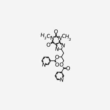 Cn1c(=O)c2c(n(C)c1=O)=NC(CC(COC(=O)c1cccnc1)OC(=O)c1cccnc1)N=2